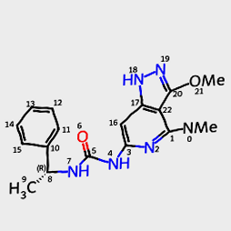 CNc1nc(NC(=O)N[C@H](C)c2ccccc2)cc2[nH]nc(OC)c12